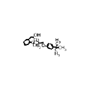 COc1ccccc1C[C@@H](O)OOC(=O)COc1ccc(C(C)(C)C)cc1